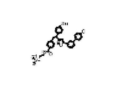 CC(C)(C)c1ccc(C(Cc2ccc(C(=O)NCCO[SH](=O)=O)cc2)c2cc(-c3cccc(-c4ccc(Cl)cc4)c3)on2)cc1